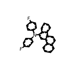 Fc1ccc(N(c2ccc(F)cc2)c2cc3c4ccccc4ccc3c3ccccc23)cc1